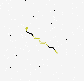 SCCSSSSCCS